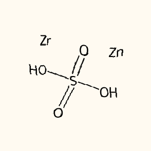 O=S(=O)(O)O.[Zn].[Zr]